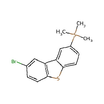 CS(C)(C)c1ccc2sc3ccc(Br)cc3c2c1